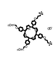 CCCCCCCCCCCOc1ccc(C2=C3C=CC(=N3)C(c3ccc(OCCC[N+](C)(C)C)cc3)=C3C=CC(=N3)C(c3ccc(OCCC[N+](C)(C)C)cc3)=C3C=CC(=N3)C(c3ccc(OCCCCCCCCCCC)cc3)=C3C=CC2=N3)cc1.[Cl-].[Cl-]